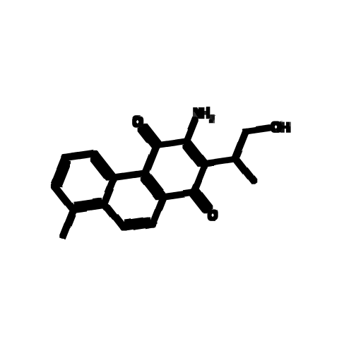 Cc1cccc2c3c(ccc12)C(=O)C(C(C)CO)=C(N)C3=O